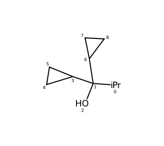 CC(C)C(O)(C1CC1)C1CC1